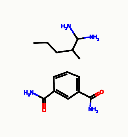 CCCC(C)C(N)N.NC(=O)c1cccc(C(N)=O)c1